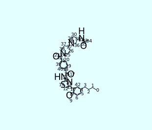 CCCCc1ccc(OC)c(-c2csc(NC(=O)c3ccc(C(=O)N4CCC(N5CC[C@@H](NC(C)=O)C5)CC4)cc3)n2)c1